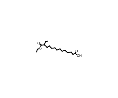 CCOC(=O)C(CC)CCCCCCCCCCCC(=O)O